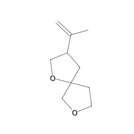 C=C(C)C1COC2(CCOC2)C1